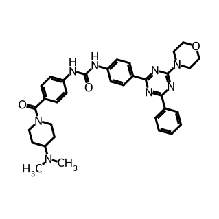 CN(C)C1CCN(C(=O)c2ccc(NC(=O)Nc3ccc(-c4nc(-c5ccccc5)nc(N5CCOCC5)n4)cc3)cc2)CC1